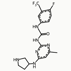 Cc1cc(NC2CCNC2)nc(NC(=O)Nc2ccc(F)c(C(F)(F)F)c2)n1